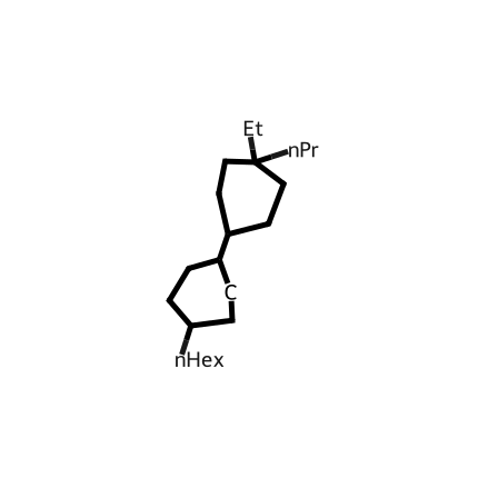 CCCCCCC1CCC(C2CCC(CC)(CCC)CC2)CC1